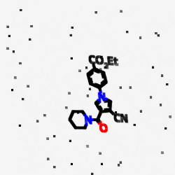 CCOC(=O)c1ccc(-n2cc(C#N)c(C(=O)N3CCCCC3)c2)cc1